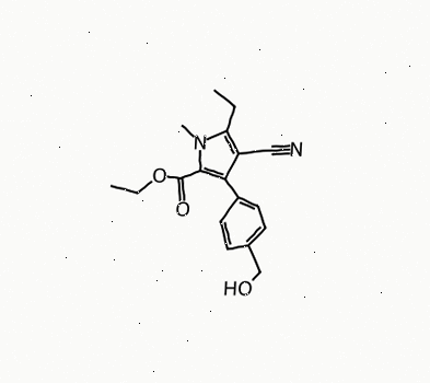 CCOC(=O)c1c(-c2ccc(CO)cc2)c(C#N)c(CC)n1C